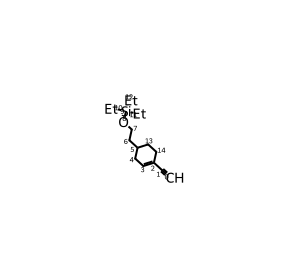 C#CC1=CCC(CCO[Si](CC)(CC)CC)CC1